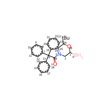 BC1CN(C(=O)C(c2ccccc2)(c2ccccc2)c2ccccc2)CC(C(C)(C)C)O1